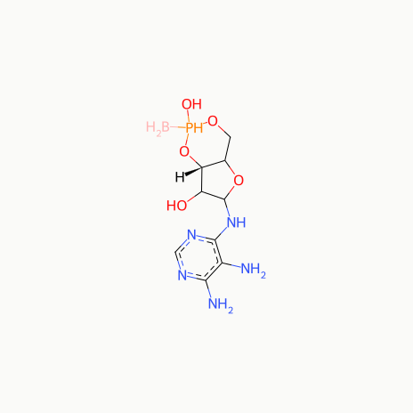 B[PH]1(O)OCC2OC(Nc3ncnc(N)c3N)C(O)[C@@H]2O1